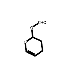 O=COC1CCC=CO1